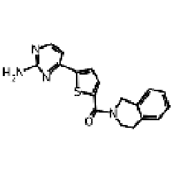 Nc1nccc(-c2ccc(C(=O)N3CCc4ccccc4C3)s2)n1